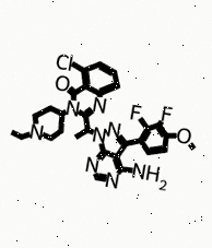 CCN1CCC(n2c(C(C)n3nc(-c4ccc(OC)c(F)c4F)c4c(N)ncnc43)nc3cccc(Cl)c3c2=O)CC1